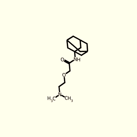 CN(C)CCOCC(=O)NC12CC3CC(CC(C3)C1)C2